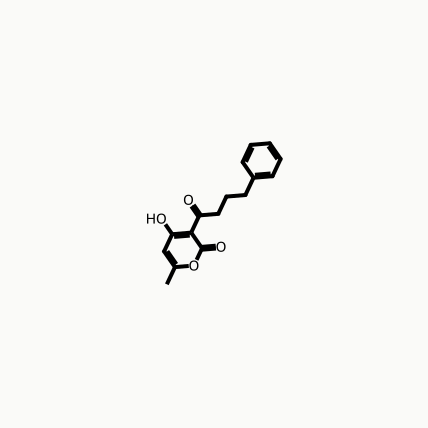 Cc1cc(O)c(C(=O)CCCc2ccccc2)c(=O)o1